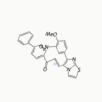 COc1ccc(-c2nc3sccn3c2/C=C/C(=O)c2ccc(-c3ccccc3)cc2)cc1[N+](=O)[O-]